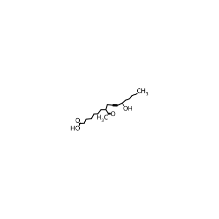 CCCCC[C@@H](O)C#CCC(CCCCCCC(=O)O)C(C)=O